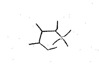 CCC(C)C(C)C(C)S(C)(C)C